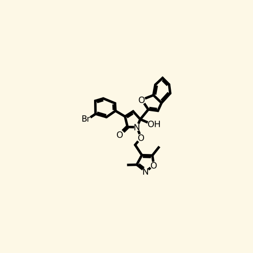 Cc1noc(C)c1CON1C(=O)C(c2cccc(Br)c2)=CC1(O)c1cc2ccccc2o1